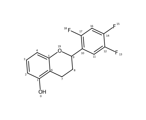 Oc1cccc2c1CCC(c1cc(F)c(F)cc1F)O2